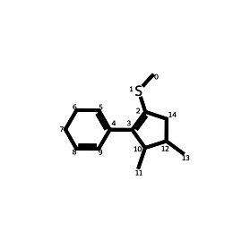 CSC1=C(C2=CCCC=C2)C(C)C(C)C1